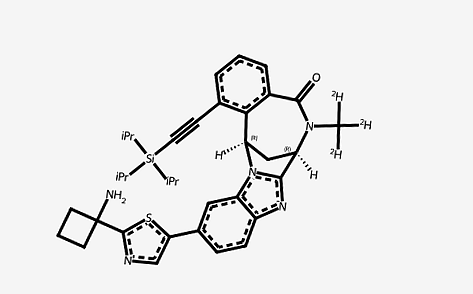 [2H]C([2H])([2H])N1C(=O)c2cccc(C#C[Si](C(C)C)(C(C)C)C(C)C)c2[C@H]2C[C@@H]1c1nc3ccc(-c4cnc(C5(N)CCC5)s4)cc3n12